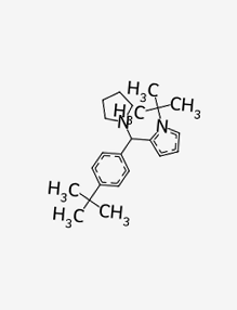 CC(C)(C)c1ccc(C(c2cccn2C(C)(C)C)N2CCCC2)cc1